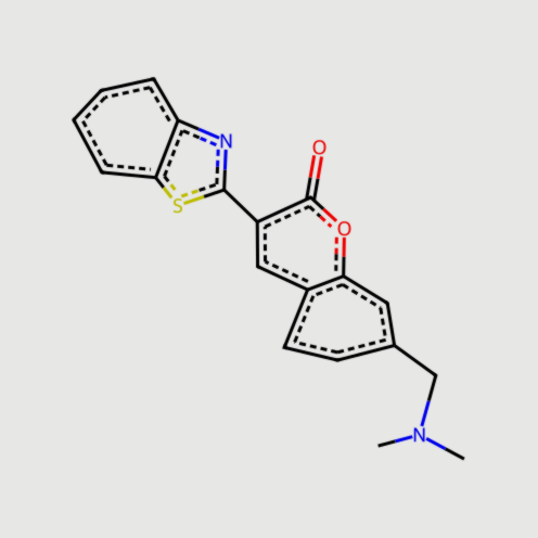 CN(C)Cc1ccc2cc(-c3nc4ccccc4s3)c(=O)oc2c1